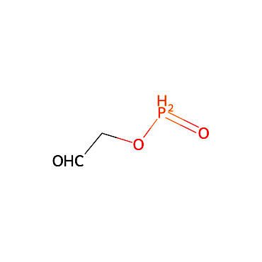 O=CCO[PH2]=O